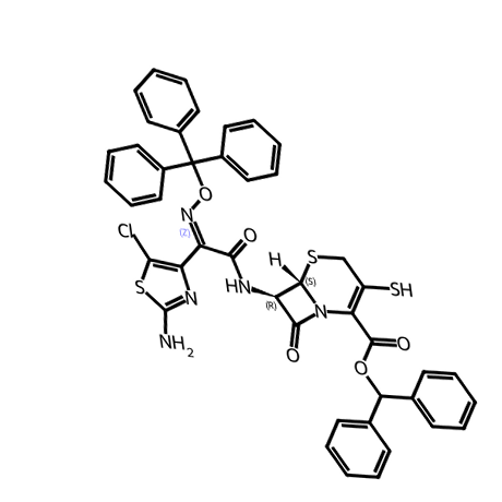 Nc1nc(/C(=N/OC(c2ccccc2)(c2ccccc2)c2ccccc2)C(=O)N[C@@H]2C(=O)N3C(C(=O)OC(c4ccccc4)c4ccccc4)=C(S)CS[C@@H]23)c(Cl)s1